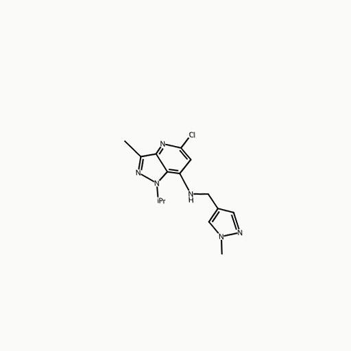 Cc1nn(C(C)C)c2c(NCc3cnn(C)c3)cc(Cl)nc12